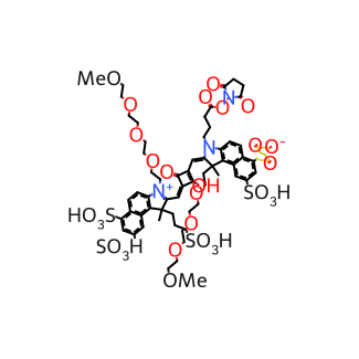 COCCOCCOCCOCC[N+]1=C(/C=C2\C(=O)C(/C=C3/N(CCCC(=O)ON4C(=O)CCC4=O)c4ccc5c(S(=O)(=O)[O-])cc(S(=O)(=O)O)cc5c4C3(C)CCOCCOCCOCCOC)=C2O)C(C)(CCCS(=O)(=O)O)c2c1ccc1c(S(=O)(=O)O)cc(S(=O)(=O)O)cc21